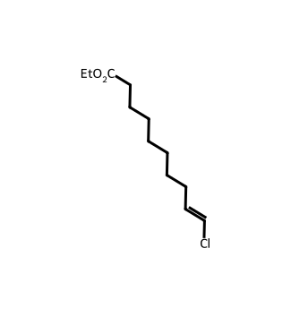 CCOC(=O)CCCCCCCC=CCl